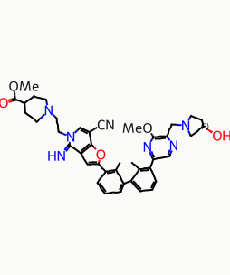 COC(=O)C1CCN(CCn2cc(C#N)c3oc(-c4cccc(-c5cccc(-c6cnc(CN7CC[C@@H](O)C7)c(OC)n6)c5C)c4C)cc3c2=N)CC1